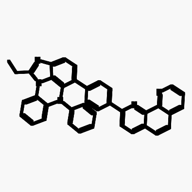 CCc1nc2ccc(-c3ccc(-c4ccc5ccc6cccnc6c5n4)cc3)c3c2n1-c1ccccc1N3c1ccccc1